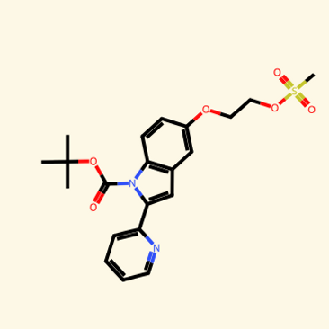 CC(C)(C)OC(=O)n1c(-c2ccccn2)cc2cc(OCCOS(C)(=O)=O)ccc21